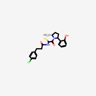 O=C(CCc1ccc(Cl)cc1)NC(S)C(=O)N1C(c2ccccc2O)CC[C@H]1C(=O)O